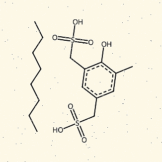 CCCCCCCC.Cc1cc(CS(=O)(=O)O)cc(CS(=O)(=O)O)c1O